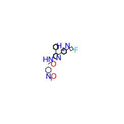 CC(=O)N(C)[C@H]1CC[C@H](CC(=O)Nc2cnc(-c3ccc([C@]4(N)C[C@H](F)C4)cc3)c(-c3ccccc3)c2)CC1